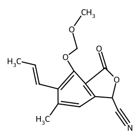 C/C=C/c1c(C)cc2c(c1OCOC)C(=O)OC2C#N